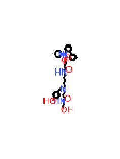 O=C(CCOC(=O)N(c1ccccc1-c1ccccc1)N1CC[CH]CC1)NCCCCCN(CCC(=O)NCCO)Cc1ccc(O)cc1